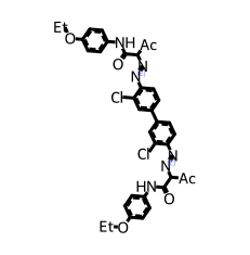 CCOc1ccc(NC(=O)C(/N=N/c2ccc(-c3ccc(/N=N/C(C(C)=O)C(=O)Nc4ccc(OCC)cc4)c(Cl)c3)cc2Cl)C(C)=O)cc1